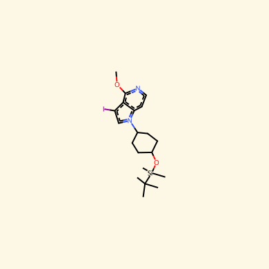 COc1nccc2c1c(I)cn2C1CCC(O[Si](C)(C)C(C)(C)C)CC1